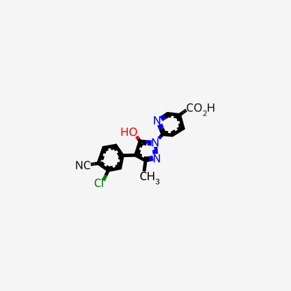 Cc1nn(-c2ccc(C(=O)O)cn2)c(O)c1-c1ccc(C#N)c(Cl)c1